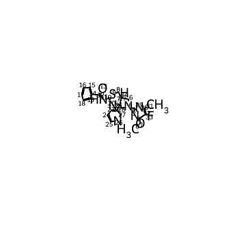 COc1nc(N2C[C@H]3CSC(NC(=O)c4ccccc4)=NC3(c3cccnc3)C2)nc(C)c1F